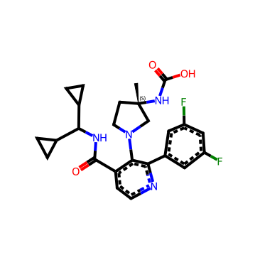 C[C@]1(NC(=O)O)CCN(c2c(C(=O)NC(C3CC3)C3CC3)ccnc2-c2cc(F)cc(F)c2)C1